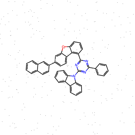 c1ccc(-c2nc(-c3cccc4oc5cc(-c6ccc7ccccc7c6)ccc5c34)nc(-n3c4ccccc4c4ccccc43)n2)cc1